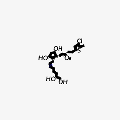 CO[C@H](C=C[C@@H]1[C@@H](C/C=C\CCCC(O)CO)[C@@H](O)C[C@H]1O)CCc1cc(Cl)c(C)s1